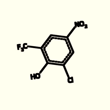 O=[N+]([O-])c1cc(Cl)c(O)c(C(F)(F)F)c1